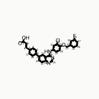 O=C(O)C=Cc1ccc(-c2ccc3ncnc(Nc4ccc(OCc5cccc(F)c5)c(Cl)c4)c3c2)cc1